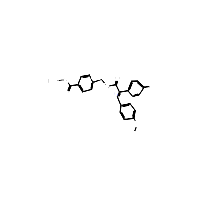 CSc1ccc(/C=C(/C(=O)NCc2ccc(C(=O)NO)cc2)c2ccc(F)cc2)cc1